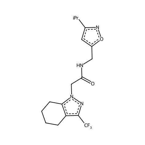 CC(C)c1cc(CNC(=O)Cn2nc(C(F)(F)F)c3c2CCCC3)on1